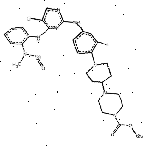 CN([SH]=O)c1ccccc1Nc1nc(Nc2ccc(N3CCC(N4CCN(C(=O)OC(C)(C)C)CC4)CC3)c(F)c2)ncc1Cl